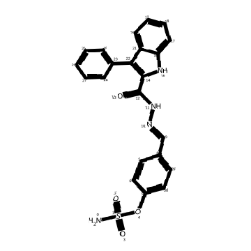 NS(=O)(=O)Oc1ccc(C=NNC(=O)c2[nH]c3ccccc3c2-c2ccccc2)cc1